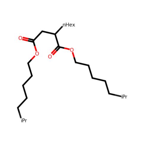 CCCCCCC(CC(=O)OCCCCCC(C)C)C(=O)OCCCCCC(C)C